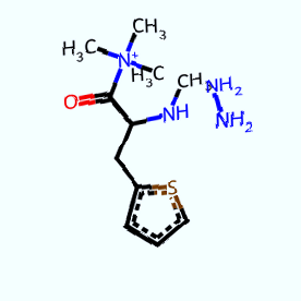 CNC(Cc1cccs1)C(=O)[N+](C)(C)C.NN